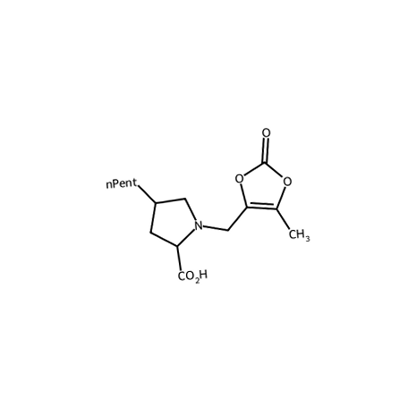 CCCCCC1CC(C(=O)O)N(Cc2oc(=O)oc2C)C1